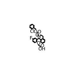 O=C(O)COc1ccc(F)cc1C1c2ccccc2CCN1OC(=O)OCc1ccccc1Cl